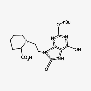 CCCCOc1nc(O)c2[nH]c(=O)n(CCN3CCCCC3C(=O)O)c2n1